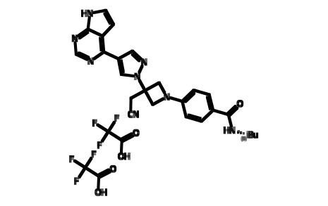 CC[C@@H](C)NC(=O)c1ccc(N2CC(CC#N)(n3cc(-c4ncnc5[nH]ccc45)cn3)C2)cc1.O=C(O)C(F)(F)F.O=C(O)C(F)(F)F